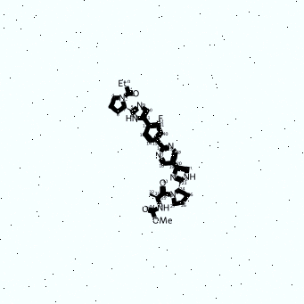 CCC(=O)N1CCC[C@H]1c1ncc(-c2ccc(-c3ncc(-c4c[nH]c([C@@H]5CCCN5C(=O)[C@H](C)NC(=O)OC)n4)cn3)cc2F)[nH]1